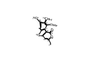 COc1c(O)c(O)cc2oc3cc(C)oc(=O)c3c12